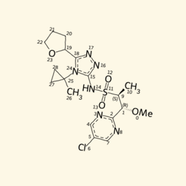 CO[C@H](c1ncc(Cl)cn1)[C@H](C)S(=O)(=O)Nc1nnc(C2CCCO2)n1C1(C)CC1